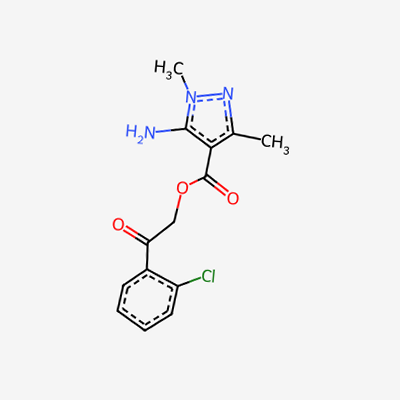 Cc1nn(C)c(N)c1C(=O)OCC(=O)c1ccccc1Cl